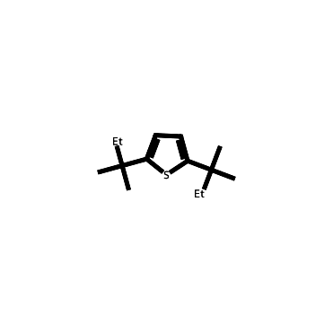 CCC(C)(C)c1ccc(C(C)(C)CC)s1